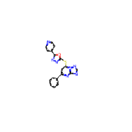 c1ccc(-c2cc(Sc3nnc(-c4ccncc4)o3)n3ncnc3n2)cc1